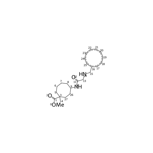 COC(=O)C1(C)CCCCC(NC(=O)CNCc2ccccccccc2)CC1